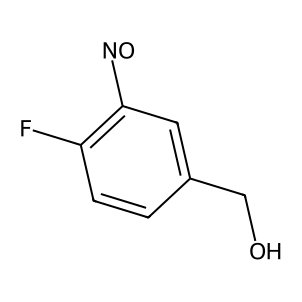 O=Nc1cc(CO)ccc1F